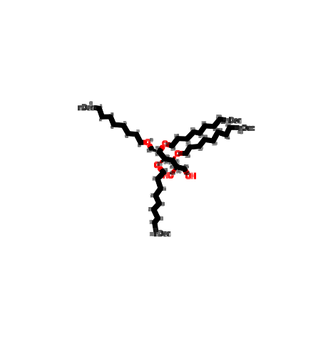 CCCCCCCCCCCCCCCCCCOC[C@H](OCCCCCCCCCCCCCCCCCC)[C@@H](OCCCCCCCCCCCCCCCCCC)[C@H](OCCCCCCCCCCCCCCCCCC)[C@H](O)CO